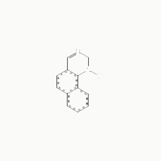 CCN1CN=Cc2ccc3ccccc3c21